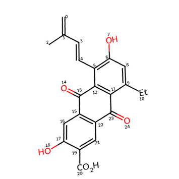 C=C(C)C=Cc1c(O)cc(CC)c2c1C(=O)c1cc(O)c(C(=O)O)cc1C2=O